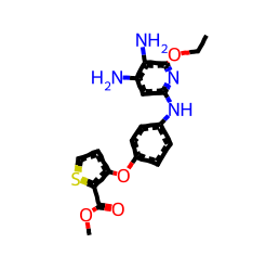 CCOc1nc(Nc2ccc(Oc3ccsc3C(=O)OC)cc2)cc(N)c1N